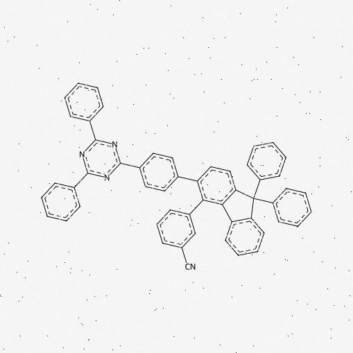 N#Cc1cccc(-c2c(-c3ccc(-c4nc(-c5ccccc5)nc(-c5ccccc5)n4)cc3)ccc3c2-c2ccccc2C3(c2ccccc2)c2ccccc2)c1